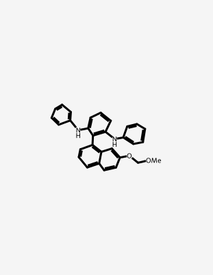 COCOc1ccc2cccc(-c3c(Nc4ccccc4)cccc3Nc3ccccc3)c2c1